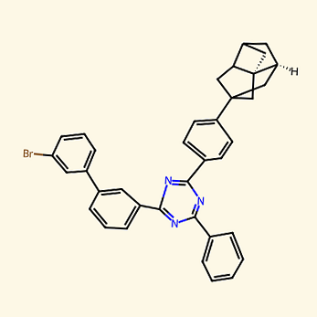 Brc1cccc(-c2cccc(-c3nc(-c4ccccc4)nc(-c4ccc(C56CC7C8C[C@@H](C5)[C@@]7(C8)C6)cc4)n3)c2)c1